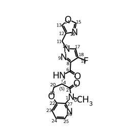 CN1C(=O)[C@@H](NC(=O)c2nn(Cc3cocn3)cc2F)COc2cccnc21